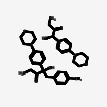 CCC(=O)C(O)(Cc1ccc(C)cc1)c1ccc(N2CCOCC2)cc1.CCC(=O)C(O)c1ccc(N2CCOCC2)cc1